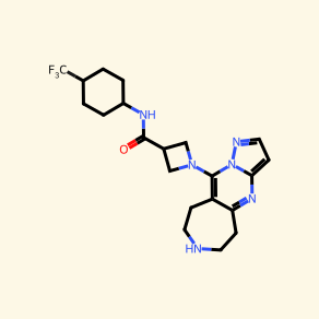 O=C(NC1CCC(C(F)(F)F)CC1)C1CN(c2c3c(nc4ccnn24)CCNCC3)C1